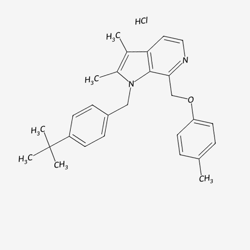 Cc1ccc(OCc2nccc3c(C)c(C)n(Cc4ccc(C(C)(C)C)cc4)c23)cc1.Cl